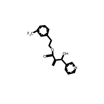 C=C(C(=O)OCCc1cccc(C(F)(F)F)c1)C(O)c1cccnc1